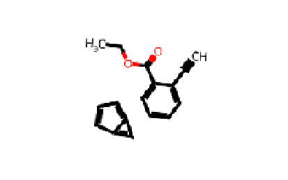 C#Cc1ccccc1C(=O)OCC.c1cc2cc-2c1